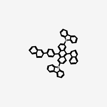 c1ccc2cc(-c3ccc(-c4c5cc(-n6c7ccccc7c7ccccc76)ccc5c(-c5cccc6ccccc56)c5cc(-n6c7ccccc7c7ccccc76)ccc45)cc3)ccc2c1